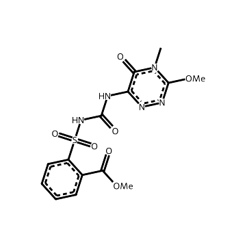 COC(=O)c1ccccc1S(=O)(=O)NC(=O)Nc1nnc(OC)n(C)c1=O